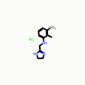 Cc1c(NCC2=NCCN2)cccc1[N+](=O)[O-].Cl